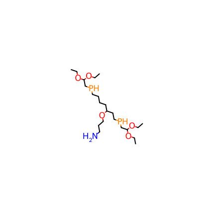 CCOC(CPCCCCC(CCPCC(OCC)OCC)OCCCN)OCC